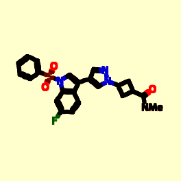 CNC(=O)C1CC(n2cc(-c3cn(S(=O)(=O)c4ccccc4)c4cc(F)ccc34)cn2)C1